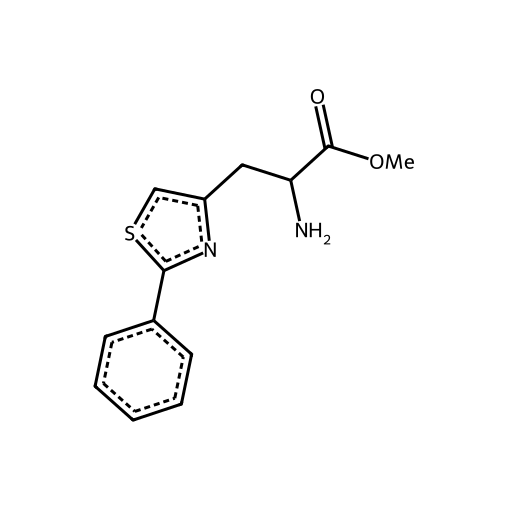 COC(=O)C(N)Cc1csc(-c2ccccc2)n1